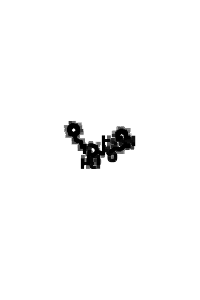 Cl.Cl.O=C(NCC1CCN(CCCc2ccccc2)CC1)C1Cc2cnc3cccc(n23)S1